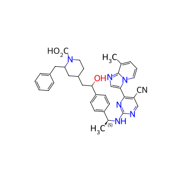 Cc1cccn2c(-c3nc(N[C@@H](C)c4ccc(C(O)CC5CCN(C(=O)O)C(Cc6ccccc6)C5)cc4)ncc3C#N)cnc12